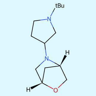 CC(C)(C)N1CCC(N2C[C@@H]3C[C@H]2CO3)C1